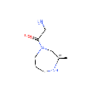 C[C@@H]1CN(C(=O)CN)CCCN1